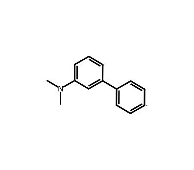 CN(C)c1cccc(-c2cc[c]cc2)c1